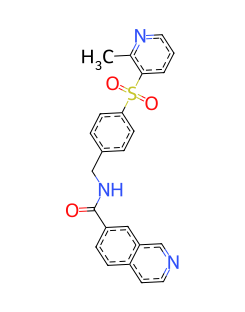 Cc1ncccc1S(=O)(=O)c1ccc(CNC(=O)c2ccc3ccncc3c2)cc1